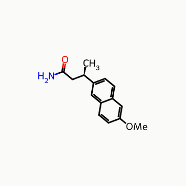 COc1ccc2cc([C@H](C)CC(N)=O)ccc2c1